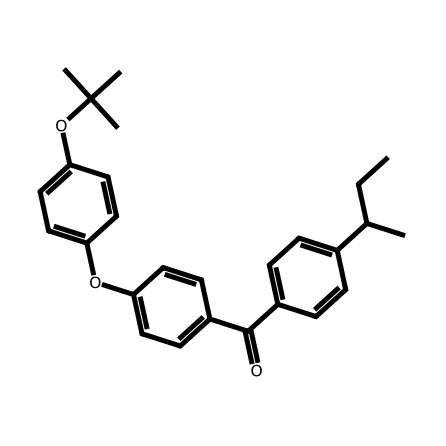 CCC(C)c1ccc(C(=O)c2ccc(Oc3ccc(OC(C)(C)C)cc3)cc2)cc1